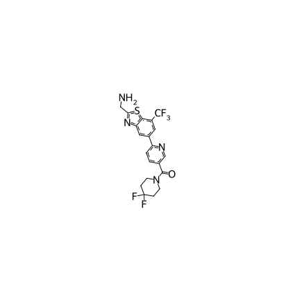 NCc1nc2cc(-c3ccc(C(=O)N4CCC(F)(F)CC4)cn3)cc(C(F)(F)F)c2s1